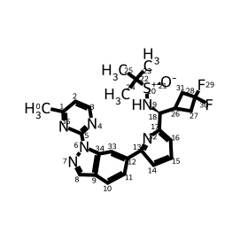 Cc1ccnc(-n2ncc3ccc(-c4cccc([C@@H](N[S@+]([O-])C(C)(C)C)C5CC(F)(F)C5)n4)cc32)n1